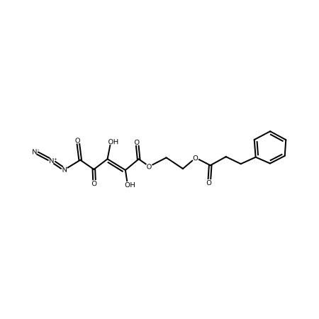 [N-]=[N+]=NC(=O)C(=O)/C(O)=C(\O)C(=O)OCCOC(=O)CCc1ccccc1